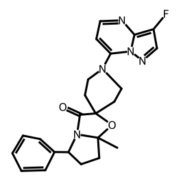 CC12CCC(c3ccccc3)N1C(=O)C1(CCN(c3ccnc4c(F)cnn34)CC1)O2